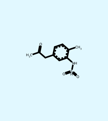 CC(=O)Cc1ccc(C)c(N[SH](=O)=O)c1